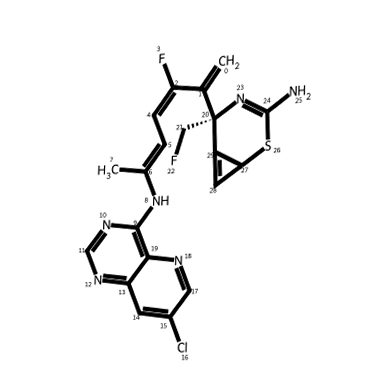 C=C(/C(F)=C\C=C(/C)Nc1ncnc2cc(Cl)cnc12)[C@@]1(CF)N=C(N)SC2C=C21